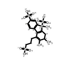 CC1=C(CCCS(=O)(=O)O)C2=C(CC1C)[N+](C)(S(=O)(=O)[O-])c1cc(S(=O)(=O)O)ccc12